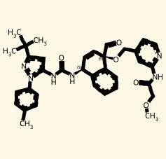 COCC(=O)Nc1cc(CO[C@]2(C=O)C=C[C@H](NC(=O)Nc3cc(C(C)(C)C)nn3-c3ccc(C)cc3)c3ccccc32)ccn1